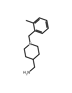 Cc1ccccc1CN1CCC(CN)CC1